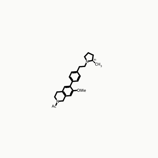 COc1cc2c(cc1-c1ccc(CCN3CCC[C@H]3C)cc1)CCN(C(C)=O)C2